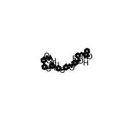 CC1(C(=O)N2CCCC(c3cccc(Oc4cnnc(N5CCC(OC6CCN(CC(=O)N7CCN(C(=O)c8cc(Cc9n[nH]c(=O)c%10ccccc9%10)ccc8F)CC7)CC6)CC5)c4)c3)C2)CC1